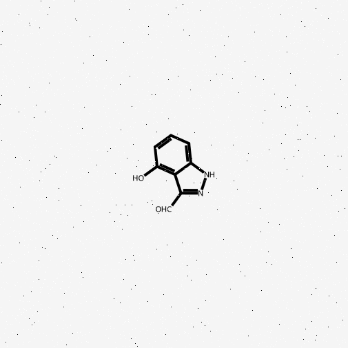 O=Cc1n[nH]c2cccc(O)c12